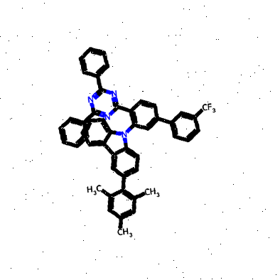 Cc1cc(C)c(-c2ccc3c(c2)c2ccccc2n3-c2cc(-c3cccc(C(F)(F)F)c3)ccc2-c2nc(-c3ccccc3)nc(-c3ccccc3)n2)c(C)c1